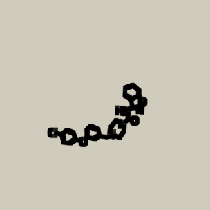 O=C(Nc1noc2ccccc12)N1CCN(Cc2cccc(Oc3ccc(Cl)cc3)c2)CC1